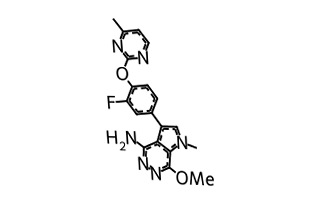 COc1nnc(N)c2c(-c3ccc(Oc4nccc(C)n4)c(F)c3)cn(C)c12